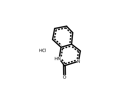 Cl.O=c1ncc2ccccc2[nH]1